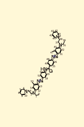 CCN(CC[n+]1ccccc1)c1ccc(/N=N/c2ccc(NC(=O)c3ccc(/N=N/c4ccc(N(CC)CC[n+]5ccccc5)cc4C)cc3)cc2)c(C)c1